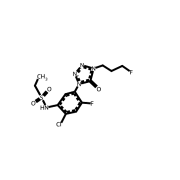 CCS(=O)(=O)Nc1cc(-n2nnn(CCCF)c2=O)c(F)cc1Cl